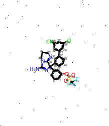 NC1=NC(c2cccc(OS(=O)(=O)C(F)(F)F)c2)(c2cccc(-c3cc(Cl)cc(Cl)c3)c2)C2=NCCCN12